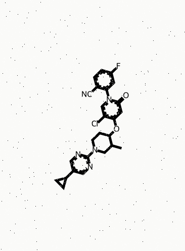 CC1CN(c2ncc(C3CC3)cn2)CCC1Oc1cc(=O)n(-c2cc(F)ccc2C#N)cc1Cl